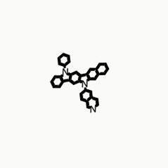 c1ccc(-n2c3ccccc3c3cc4c(cc32)c2cc3ccccc3cc2n4-c2ccc3cnccc3c2)cc1